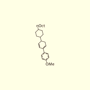 CCCCCCCCC1CCC(C2C=CC(c3ccc(OC)cc3)=CC2)CC1